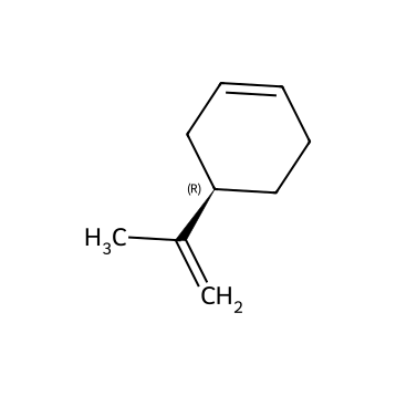 C=C(C)[C@H]1CC=CCC1